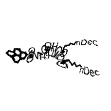 CCCCCCCCCCCCCCCC(=O)OC[C@H](COP(=O)(O)OCCNS(=O)(=O)c1cc2ccc3cccc4ccc(c1)c2c34)OC(=O)CCCCCCCCCCCCCCC